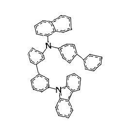 c1ccc(-c2ccc(N(c3cccc(-c4cccc(-n5c6ccccc6c6ccccc65)c4)c3)c3cccc4ccccc34)cc2)cc1